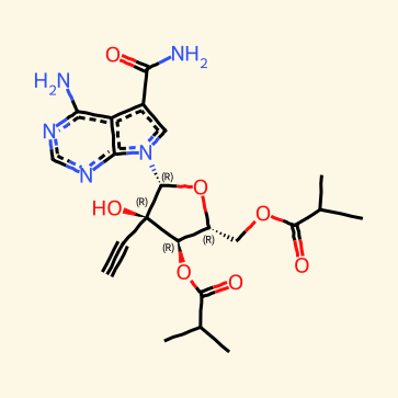 C#C[C@@]1(O)[C@H](OC(=O)C(C)C)[C@@H](COC(=O)C(C)C)O[C@H]1n1cc(C(N)=O)c2c(N)ncnc21